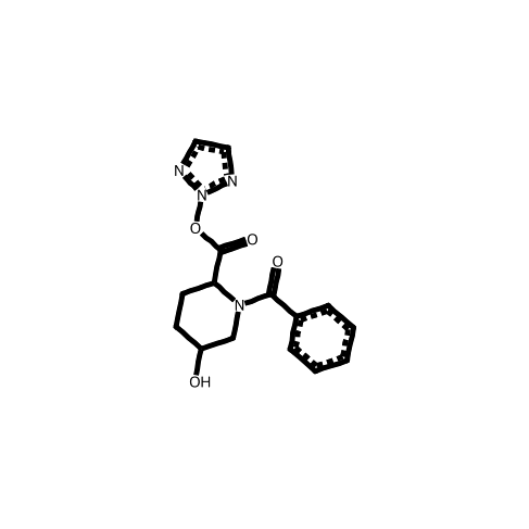 O=C(On1nccn1)C1CCC(O)CN1C(=O)c1ccccc1